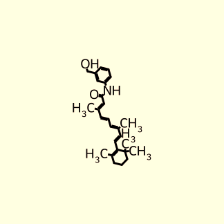 CC(C=CC1=C(C)CCCC1(C)C)=CC=CC(C)=CC(=O)Nc1cccc(CO)c1